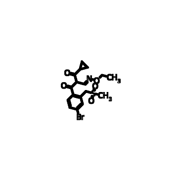 CCON=CC(C(=O)c1ccc(Br)cc1CS(C)(=O)=O)C(=O)C1CC1